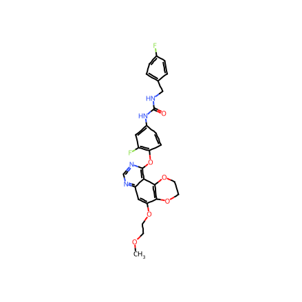 COCCOc1cc2ncnc(Oc3ccc(NC(=O)NCc4ccc(F)cc4)cc3F)c2c2c1OCCO2